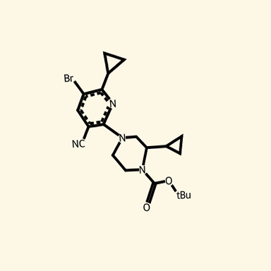 CC(C)(C)OC(=O)N1CCN(c2nc(C3CC3)c(Br)cc2C#N)CC1C1CC1